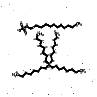 CCCCCCCCCCCCOS(=O)(=O)[O-].CCCCCCCC[N+](CCCCCCCC)(CCCCCCCC)CCCCCCCC